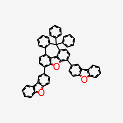 c1ccc(C2(c3ccccc3)c3ccccc3-c3ccc(-c4ccc5oc6ccccc6c5c4)c4oc5c(-c6ccc7oc8ccccc8c7c6)ccc2c5c34)cc1